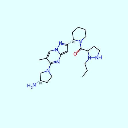 CCCN1NCCC1C(=O)N1CCCC[C@H]1c1cc2nc(N3CC[C@H](N)C3)c(C)cn2n1